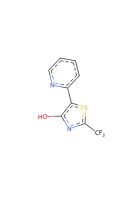 Oc1nc(C(F)(F)F)sc1-c1ccccn1